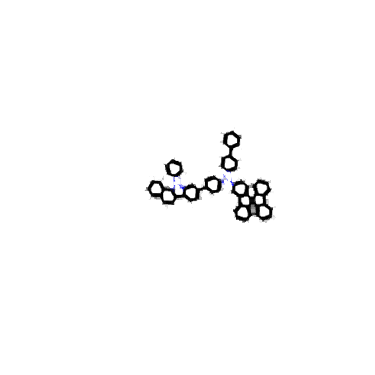 c1ccc(-c2ccc(N(c3ccc(-c4ccc5c6ccc7ccccc7c6n(-c6ccccc6)c5c4)cc3)c3ccc4c(c3)-c3ccccc3C43c4ccccc4-c4ccccc43)cc2)cc1